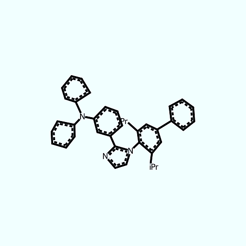 CC(C)c1cc(-c2ccccc2)cc(C(C)C)c1-n1ccnc1-c1cccc(N(c2ccccc2)c2ccccc2)c1